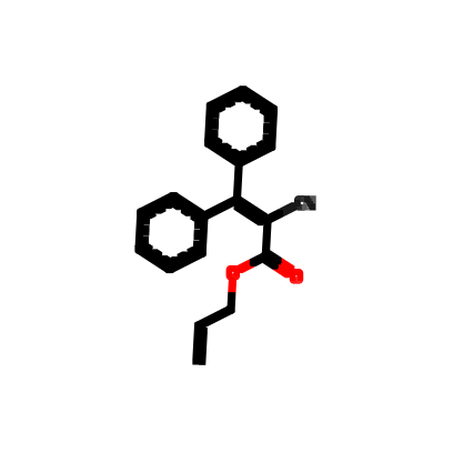 C=CCOC(=O)C(C#N)=C(c1ccccc1)c1ccccc1